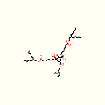 CCCCCC(CCCCC)CCOC(=O)CCCCCCCC1(C(=O)O)C=C(C(=O)OCCCN(CC)CC)CC(CCCCCCCC(=O)OCCC(CCCCC)CCCCC)(C(=O)O)C1